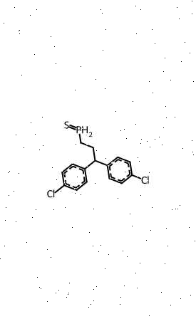 S=[PH2]CCC(c1ccc(Cl)cc1)c1ccc(Cl)cc1